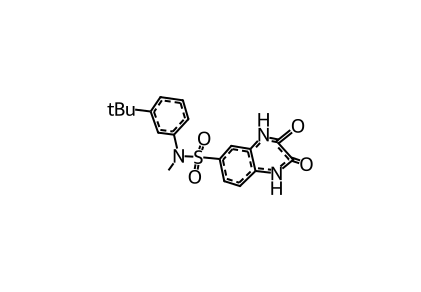 CN(c1cccc(C(C)(C)C)c1)S(=O)(=O)c1ccc2[nH]c(=O)c(=O)[nH]c2c1